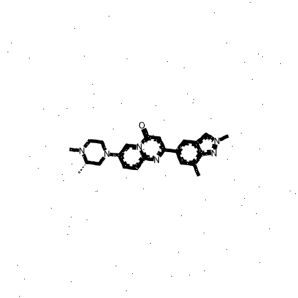 Cc1cc(-c2cc(=O)n3cc(N4CCN(C)[C@@H](C)C4)ccc3n2)cc2cn(C)nc12